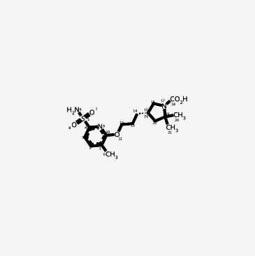 Cc1ccc(S(N)(=O)=O)nc1OCCC[C@@H]1CN(C(=O)O)C(C)(C)C1